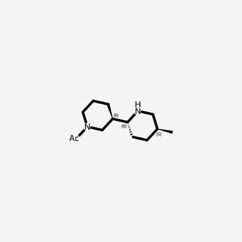 CC(=O)N1CCC[C@@H]([C@H]2CC[C@H](C)CN2)C1